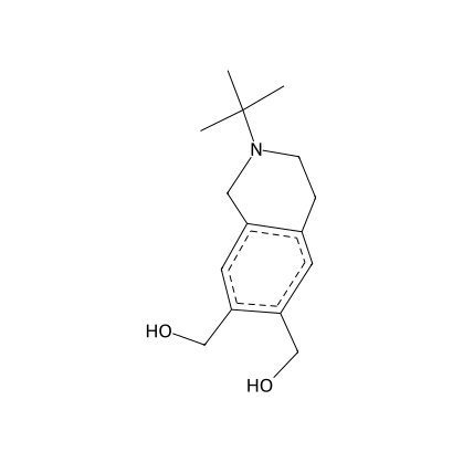 CC(C)(C)N1CCc2cc(CO)c(CO)cc2C1